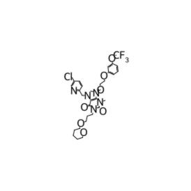 Cn1c2c(c(=O)n(CCCOC3CCCCO3)c1=O)N(Cc1ccc(Cl)cn1)CN2OCCOc1cccc(OC(F)(F)F)c1